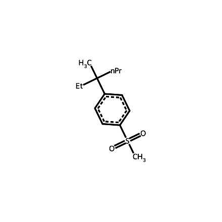 CCCC(C)(CC)c1ccc(S(C)(=O)=O)cc1